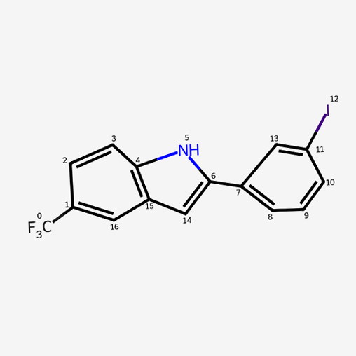 FC(F)(F)c1ccc2[nH]c(-c3cccc(I)c3)cc2c1